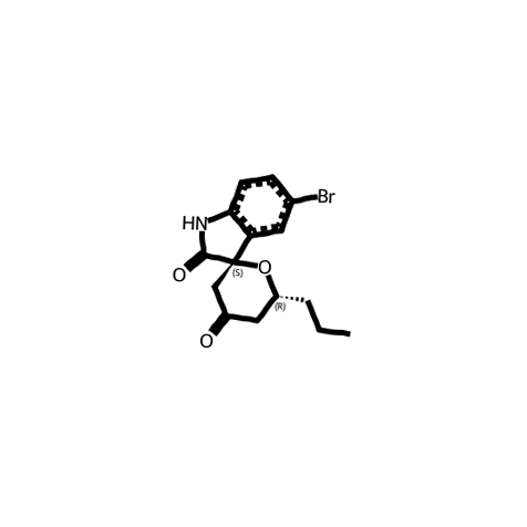 CCC[C@@H]1CC(=O)C[C@@]2(O1)C(=O)Nc1ccc(Br)cc12